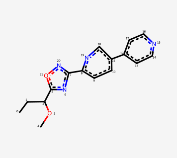 CCC(OC)c1nc(-c2ccc(-c3ccncc3)cn2)no1